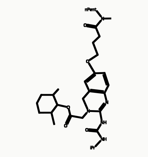 CCCCCN(C)C(=O)CCCOc1ccc2c(c1)CN(CC(=O)OC1C(C)CCCC1C)C(NC(=O)NC(C)C)=N2